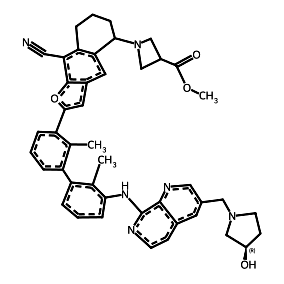 COC(=O)C1CN(C2CCCc3c2cc2cc(-c4cccc(-c5cccc(Nc6nccc7cc(CN8CC[C@@H](O)C8)cnc67)c5C)c4C)oc2c3C#N)C1